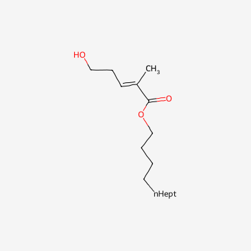 CCCCCCCCCCCOC(=O)C(C)=CCCO